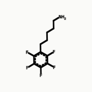 NCCCCCc1c(F)c(F)c(F)c(F)c1F